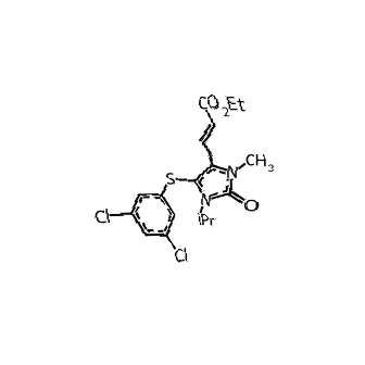 CCOC(=O)C=Cc1c(Sc2cc(Cl)cc(Cl)c2)n(C(C)C)c(=O)n1C